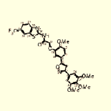 COc1ccc(-c2cc(-c3cc(OC)c(OC)c(OC)c3)no2)cc1OCC(=O)Nc1nc2ccc(C(F)(F)F)cc2s1